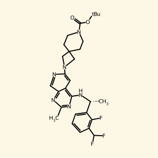 Cc1nc(N[C@H](C)c2cccc(C(F)F)c2F)c2cc(N3CC4(CCN(C(=O)OC(C)(C)C)CC4)C3)ncc2n1